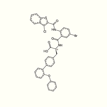 O=C(N[C@@H](Cc1ccc(-c2ccccc2Oc2ccccc2)cc1)C(=O)O)c1cc(Br)ccc1NC(=O)c1sc2ccccc2c1Cl